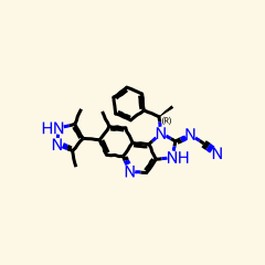 Cc1cc2c(cc1-c1c(C)n[nH]c1C)ncc1[nH]c(=NC#N)n([C@H](C)c3ccccc3)c12